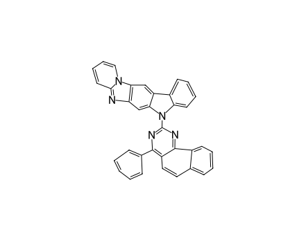 c1ccc(-c2nc(-n3c4ccccc4c4cc5c(cc43)nc3ccccn35)nc3c2ccc2ccccc23)cc1